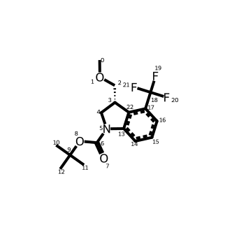 COC[C@H]1CN(C(=O)OC(C)(C)C)c2cccc(C(F)(F)F)c21